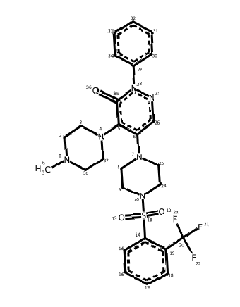 CN1CCN(c2c(N3CCN(S(=O)(=O)c4ccccc4C(F)(F)F)CC3)cnn(-c3ccccc3)c2=O)CC1